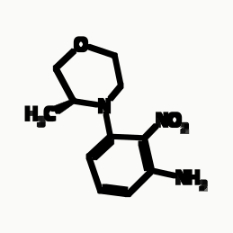 C[C@H]1COCCN1c1cccc(N)c1[N+](=O)[O-]